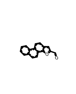 O=Cc1cc2ccc3c4ccccc4ccc3c2o1